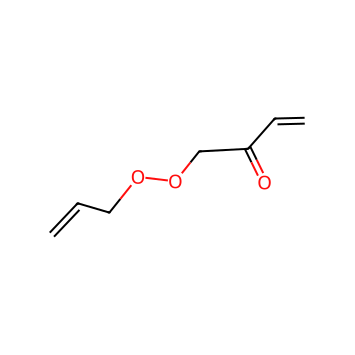 C=CCOOCC(=O)C=C